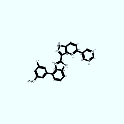 COc1cc(F)cc(-c2cccc3[nH]c(-c4n[nH]c5ccc(-c6cncnc6)nc45)nc23)c1